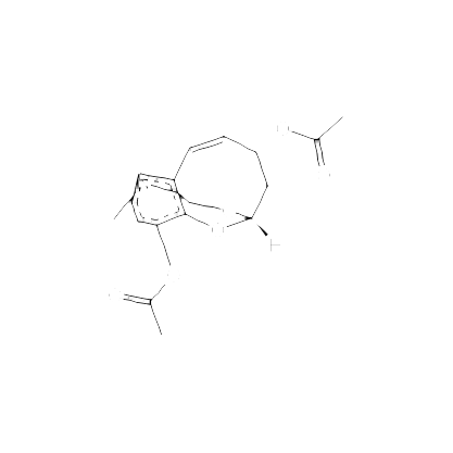 CC(=O)Oc1ccc2c3c1O[C@H](CCCN2C)C[C@@H](OC(C)=O)/C=C\3